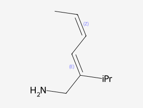 C/C=C\C=C(\CN)C(C)C